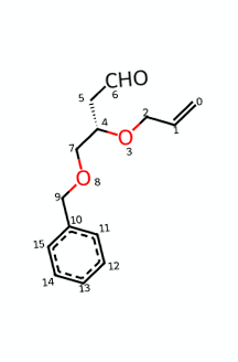 C=CCO[C@@H](CC=O)COCc1ccccc1